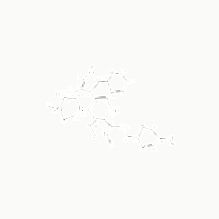 C=N/C(=C\C(=C/C)C(c1c(O)c2ccccc2c2occ(C(=O)O)c12)N1CCN(C)CC1)OCc1ccc(Cl)cc1